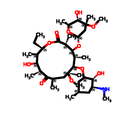 CC[C@H]1OC(=O)[C@H](C)[C@@H](O[C@H]2C[C@@](C)(OC)[C@@H](O)[C@H](C)O2)[C@H](C)[C@@H](O[C@@H]2C[C@H](C)C[C@H](NC)[C@H]2O)[C@@](C)(OC)C[C@@H](C)C(=O)[C@H](C)[C@@H](O)[C@H]1C